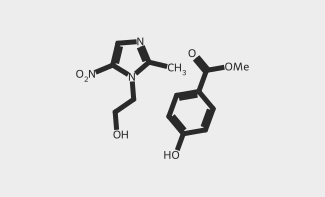 COC(=O)c1ccc(O)cc1.Cc1ncc([N+](=O)[O-])n1CCO